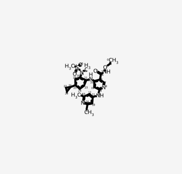 CCONC(=O)c1cnc(Nc2cc(C)nc(C)c2)cc1Nc1ccc(C2CC2)cc1N(C)S(C)(=O)=O